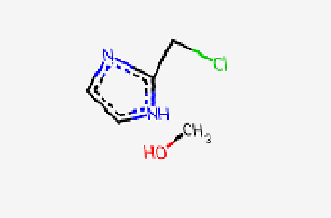 CO.ClCc1ncc[nH]1